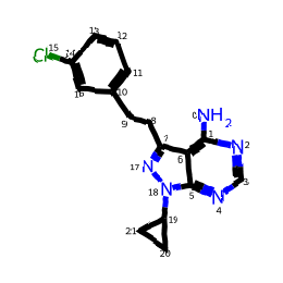 Nc1ncnc2c1c(CCc1cccc(Cl)c1)nn2C1CC1